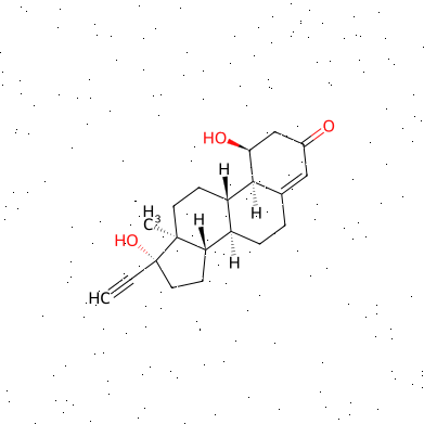 C#C[C@]1(O)CC[C@H]2[C@@H]3CCC4=CC(=O)C[C@H](O)[C@@H]4[C@H]3CC[C@@]21C